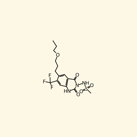 CCCOCCCc1cc2c(=O)n(NS(C)(=O)=O)c(=O)[nH]c2cc1C(F)(F)F